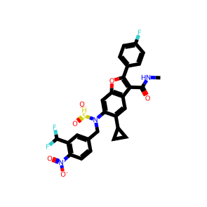 CNC(=O)c1c(-c2ccc(F)cc2)oc2cc(N(Cc3ccc([N+](=O)[O-])c(C(F)F)c3)[SH](=O)=O)c(C3CC3)cc12